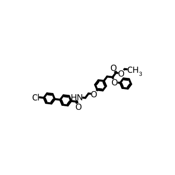 CCOC(=O)C(Cc1ccc(OCCNC(=O)c2ccc(-c3ccc(Cl)cc3)cc2)cc1)Oc1ccccc1